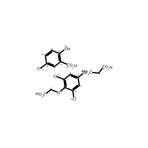 O=C(O)CC(=O)O.O=C(O)COc1c(Cl)cc(Cl)cc1Cl.O=C(O)c1cc(Cl)ccc1O